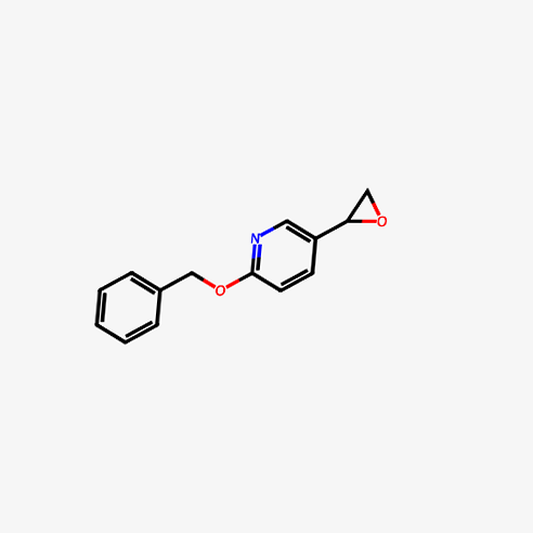 c1ccc(COc2ccc(C3CO3)cn2)cc1